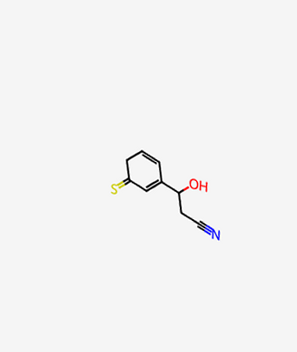 N#CCC(O)C1=CC(=S)CC=C1